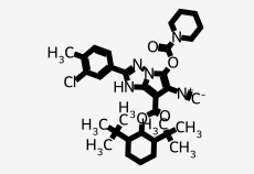 [C-]#[N+]c1c(C(=O)OC2C(C(C)(C)C)CCCC2C(C)(C)C)c2[nH]c(-c3ccc(C)c(Cl)c3)nn2c1OC(=O)N1CCCCC1